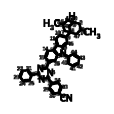 C[C@@H]1C[C@@H]2C[C@H](C)CC(c3ccc4c5ccc(-c6nc(-c7ccccc7)nc(-c7ccc(C#N)cc7)n6)cc5n(-c5ccccc5)c4c3)(C1)C2